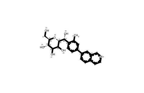 Cc1cc(-c2ccc3ccncc3c2)ccc1[C@@H](O)[C@H]1O[C@H](CO)[C@@H](O)C(O)C1O